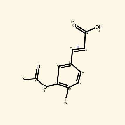 CC(=O)Oc1cc(/C=C/C(=O)O)ccc1F